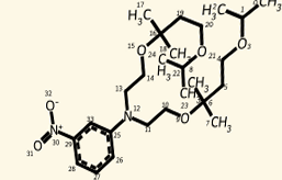 CC(C)OCCC(C)(C)OCCN(CCOC(C)(C)CCOC(C)C)c1cccc([N+](=O)[O-])c1